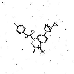 CC(=O)N1c2ccc(-c3cnn(C4CC4)c3)cc2N(C(=O)Oc2ccc(C)cc2)C[C@@H]1C